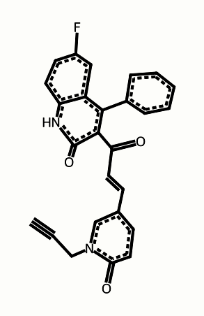 C#CCn1cc(/C=C/C(=O)c2c(-c3ccccc3)c3cc(F)ccc3[nH]c2=O)ccc1=O